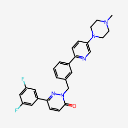 CN1CCN(c2ccc(-c3cccc(Cn4nc(-c5cc(F)cc(F)c5)ccc4=O)c3)nc2)CC1